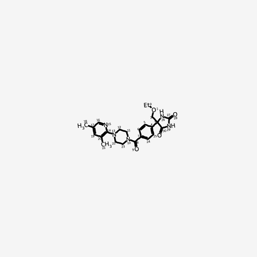 CCOCC1(c2ccc(C(=O)N3CCN(c4ncc(C)cc4C)CC3)cc2)NC(=O)NC1=O